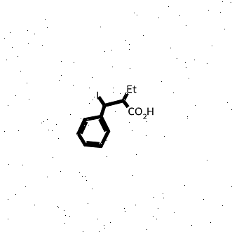 CCC(C(=O)O)C(I)c1ccccc1